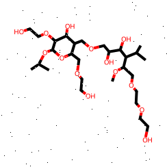 COC(COCCOCCO)C(C(C)C)C(O)C(O)COCC1C(COCCO)OC(OC(C)C)C(OCCO)C1O